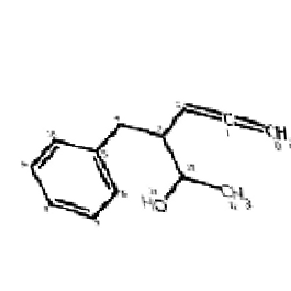 C=C=CC(Cc1ccccc1)C(C)O